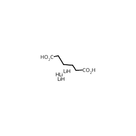 O=C(O)CCCCC(=O)O.[LiH].[LiH].[LiH]